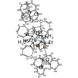 CCC1=CC2=C(C=CC=CC2c2cc(Cl)c3ccccc3c2)[C]12[SiH](C)[C]1(C(CC)=CC3=C1C=CC=CC3c1cc(Cl)c3ccccc3c1)[Hf]21([Cl])([Cl])[C]2(C(CC)=CC3=C2C=CC=CC3c2cc(Cl)c3ccccc3c2)[SiH](C)[C]12C(CC)=CC1=C2C=CC=CC1c1cc(Cl)c2ccccc2c1